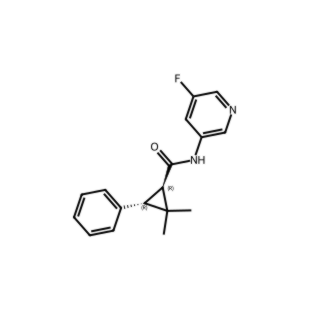 CC1(C)[C@H](C(=O)Nc2cncc(F)c2)[C@H]1c1ccccc1